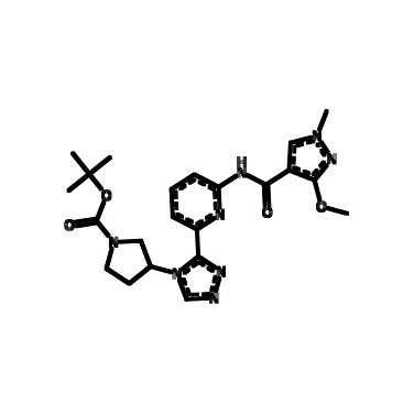 COc1nn(C)cc1C(=O)Nc1cccc(-c2nncn2C2CCN(C(=O)OC(C)(C)C)C2)n1